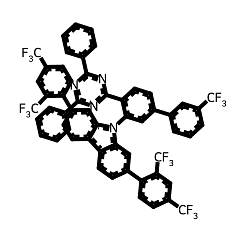 FC(F)(F)c1cccc(-c2ccc(-c3nc(-c4ccccc4)nc(-c4ccccc4)n3)c(-n3c4cc(-c5ccc(C(F)(F)F)cc5C(F)(F)F)ccc4c4ccc(-c5ccc(C(F)(F)F)cc5C(F)(F)F)cc43)c2)c1